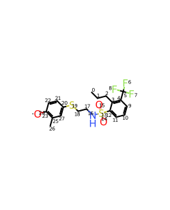 CCCc1c(C(F)(F)F)cccc1S(=O)(=O)NCCSc1ccc([O])c(C)c1